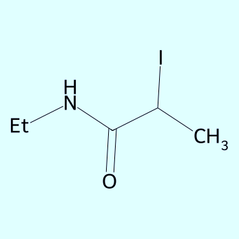 CCNC(=O)C(C)I